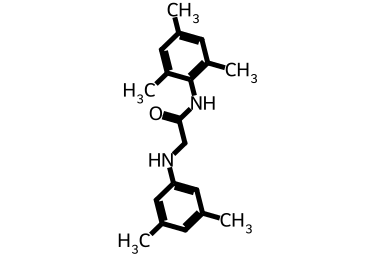 Cc1cc(C)cc(NCC(=O)Nc2c(C)cc(C)cc2C)c1